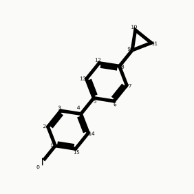 Ic1ccc(-c2c[c]c(C3CC3)cc2)cc1